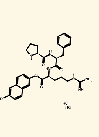 Cl.Cl.N=C(N)NCCC[C@H](NC(=O)[C@H](Cc1ccccc1)NC(=O)[C@@H]1CCCN1)C(=O)Oc1ccc2cc(Br)ccc2c1